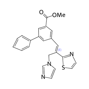 COC(=O)c1cc(/C=C(\Cn2ccnc2)c2nccs2)cc(-c2ccccc2)c1